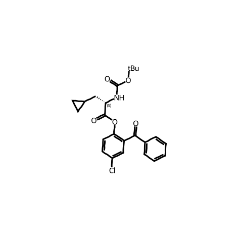 CC(C)(C)OC(=O)N[C@@H](CC1CC1)C(=O)Oc1ccc(Cl)cc1C(=O)c1ccccc1